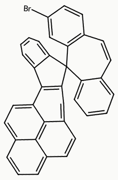 Brc1ccc2c(c1)C1(c3ccccc3C=C2)c2ccccc2-c2c1cc1ccc3cccc4ccc2c1c34